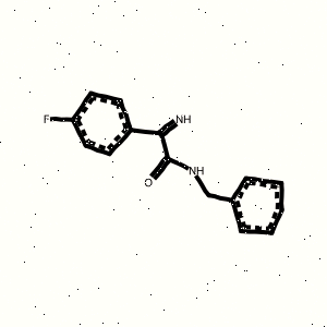 N=C(C(=O)NCc1ccccc1)c1ccc(F)cc1